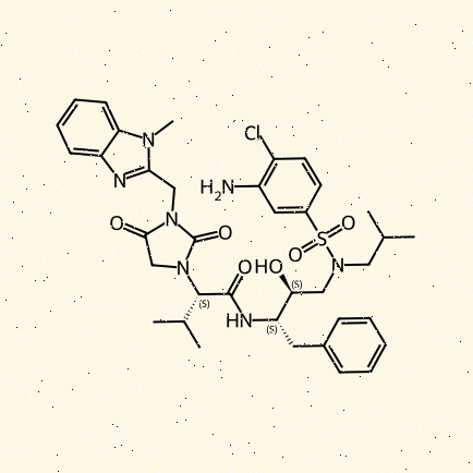 CC(C)CN(C[C@H](O)[C@H](Cc1ccccc1)NC(=O)[C@H](C(C)C)N1CC(=O)N(Cc2nc3ccccc3n2C)C1=O)S(=O)(=O)c1ccc(Cl)c(N)c1